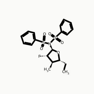 CC[C@H]1O[C@H](N(S(=O)(=O)c2ccccc2)S(=O)(=O)c2ccccc2)[C@@H](F)[C@@H]1C